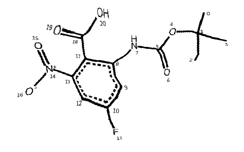 CC(C)(C)OC(=O)Nc1cc(F)cc([N+](=O)[O-])c1C(=O)O